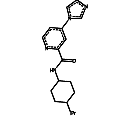 CC(C)C1CCC(NC(=O)c2cc(-n3ccnc3)ccn2)CC1